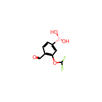 O=Cc1ccc(B(O)O)cc1OC(F)F